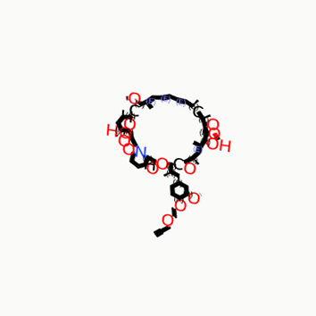 C#CCOCCO[C@@H]1CC[C@@H](C[C@@H](C)[C@@H]2CC(=O)[C@H](C)/C=C(\C)[C@@H](O)[C@@H](OC)C(=O)[C@H](C)C[C@H](C)/C=C/C=C/C=C(\C)[C@@H](OC)C[C@@H]3CC[C@@H](C)[C@@](O)(O3)C(=O)C(=O)N3CCCC[C@H]3C(=O)O2)C[C@H]1OC